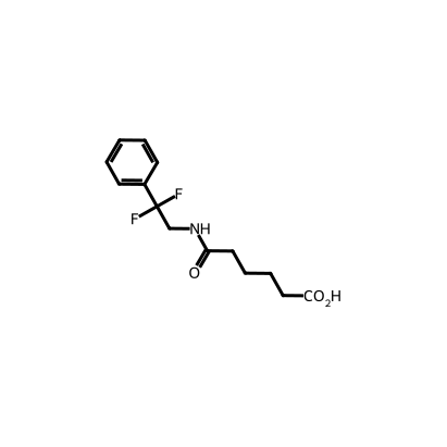 O=C(O)CCCCC(=O)NCC(F)(F)c1ccccc1